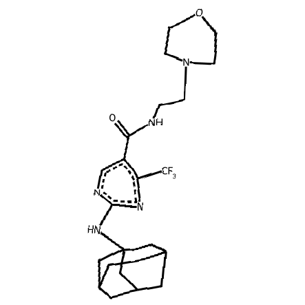 O=C(NCCN1CCOCC1)c1cnc(NC23CC4CC(CC(C4)C2)C3)nc1C(F)(F)F